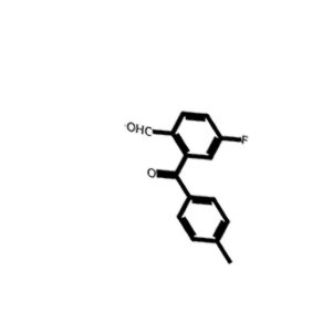 Cc1ccc(C(=O)c2cc(F)ccc2[C]=O)cc1